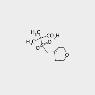 CC(C)(C(=O)O)S(=O)(=O)CC1=CCOCC1